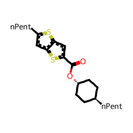 CCCCCc1cc2sc(C(=O)O[C@H]3CC[C@H](CCCCC)CC3)cc2s1